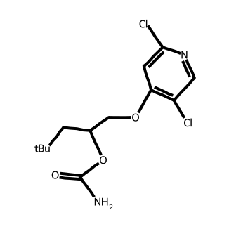 CC(C)(C)CC(COc1cc(Cl)ncc1Cl)OC(N)=O